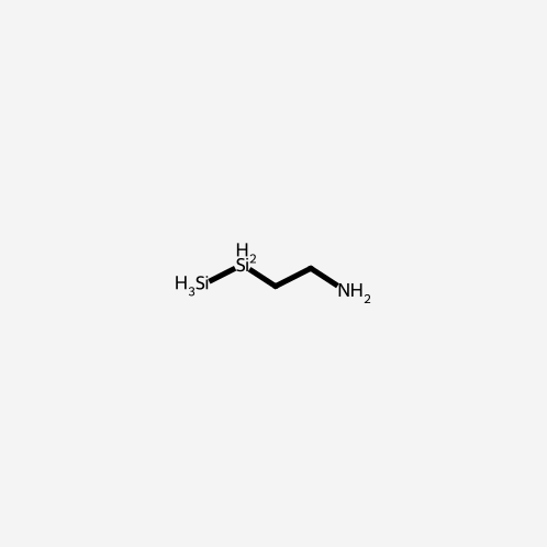 NCC[SiH2][SiH3]